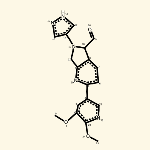 COc1cc(-c2ccc3c(n2)CN(c2cn[nH]c2)C3C=O)cnc1OC